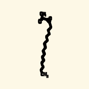 CCCCC=CC=CC=CCCCCCC1OC1C(=O)O